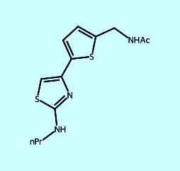 CCCNc1nc(-c2ccc(CNC(C)=O)s2)cs1